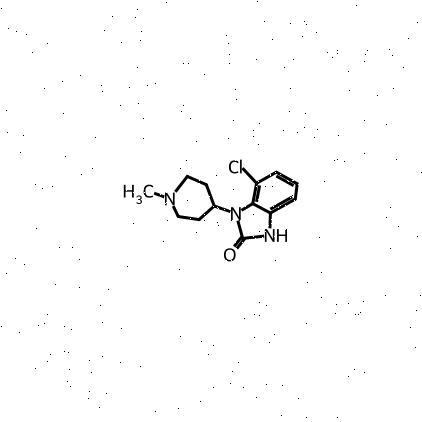 CN1CCC(n2c(=O)[nH]c3cccc(Cl)c32)CC1